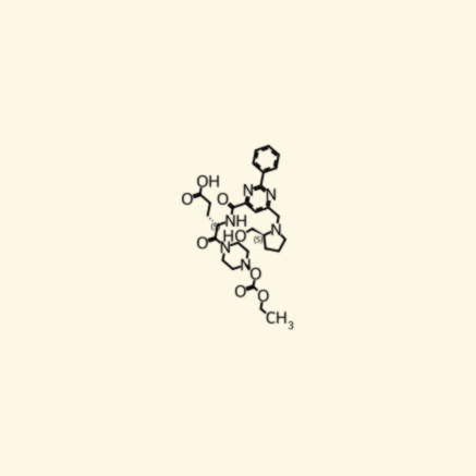 CCOC(=O)ON1CCN(C(=O)[C@H](CCC(=O)O)NC(=O)c2cc(CN3CCC[C@H]3CO)nc(-c3ccccc3)n2)CC1